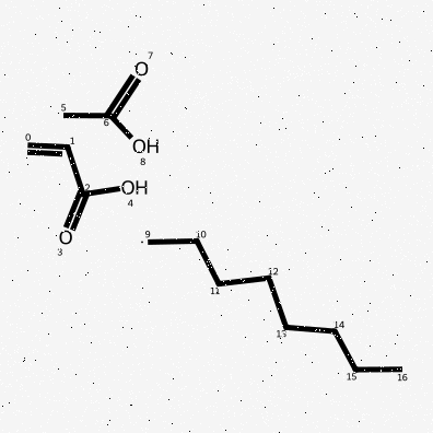 C=CC(=O)O.CC(=O)O.[CH2]CCCCCCC